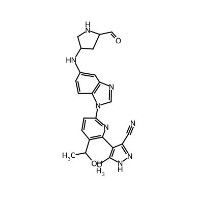 Cc1[nH]nc(C#N)c1-c1nc(-n2cnc3cc(NC4CNC(C=O)C4)ccc32)ccc1C(C)O